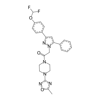 Cc1nc(N2CCN(C(=O)Cn3nc(-c4ccc(OC(F)F)cc4)cc3-c3ccccc3)CC2)no1